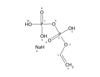 C=COP(=O)(O)OP(=O)(O)O.[NaH]